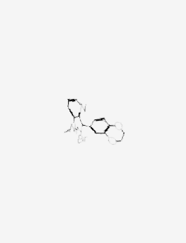 CN1c2cccnc2C(c2ccc3c(c2)OCCO3)N1Br